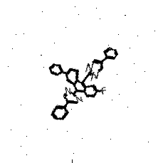 Fc1ccc2c(-c3ncc(-c4ccccc4)cn3)c3cc(-c4ccccc4)ccc3c(-c3ncc(-c4ccccc4)cn3)c2c1